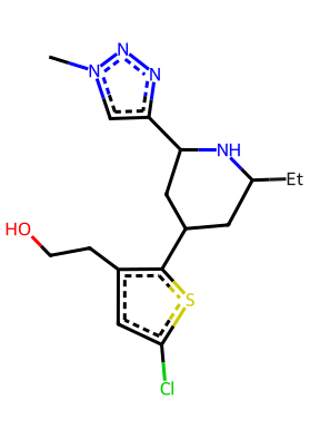 CCC1CC(c2sc(Cl)cc2CCO)CC(c2cn(C)nn2)N1